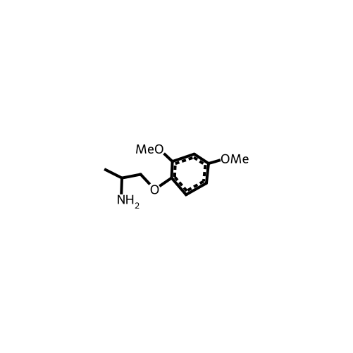 COc1ccc(OCC(C)N)c(OC)c1